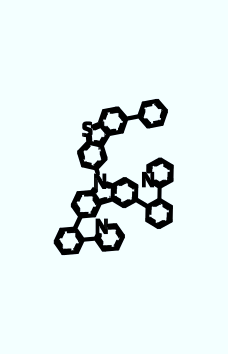 c1ccc(-c2ccc3sc4ccc(-n5c6ccc(-c7ccccc7-c7ccccn7)cc6c6cc(-c7ccccc7-c7ccccn7)ccc65)cc4c3c2)cc1